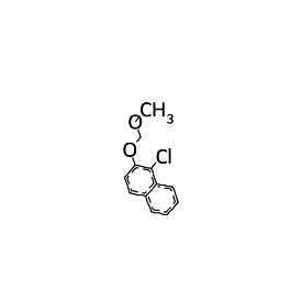 COCOc1ccc2ccccc2c1Cl